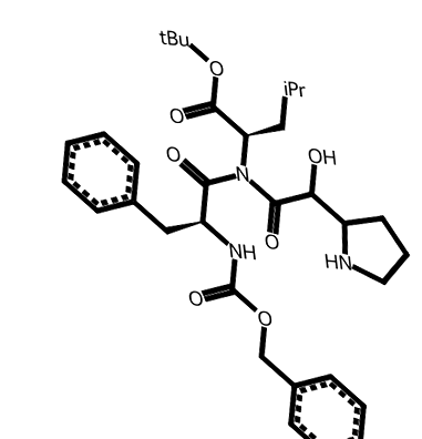 CC(C)C[C@H](C(=O)OC(C)(C)C)N(C(=O)C(O)C1CCCN1)C(=O)[C@H](Cc1ccccc1)NC(=O)OCc1ccccc1